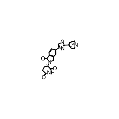 Cn1cc(-c2ccc3c(c2)CN([C@@H]2CCC(=O)NC2=O)C3=O)nc1C12CCN(CC1)CC2